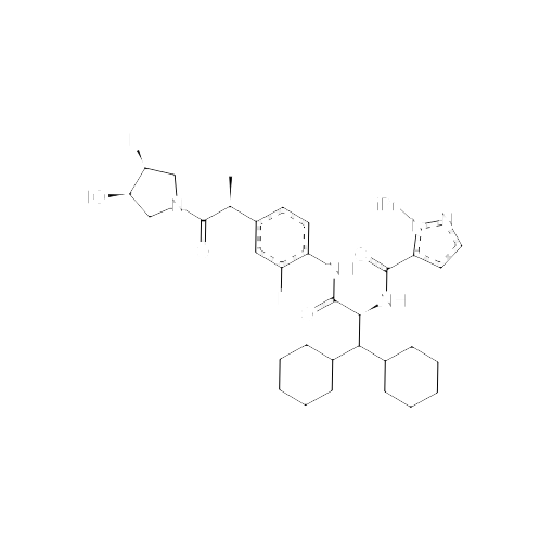 CC(C)n1nccc1C(=O)N[C@H](C(=O)Nc1ccc([C@H](C)C(=O)N2C[C@@H](O)[C@@H](F)C2)cc1F)C(C1CCCCC1)C1CCCCC1